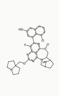 [O-][S+]1CC2C3CCC(CN2c2nc(OCC45CCCN4CCC5)nc4c(F)c(-c5cc(O)cc6cccc(Cl)c56)nc1c24)N3